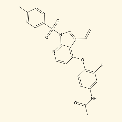 C=Cc1cn(S(=O)(=O)c2ccc(C)cc2)c2nccc(Oc3ccc(NC(C)=O)cc3F)c12